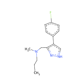 CCCN(C)Cc1n[nH]cc1-c1ccc(F)cc1